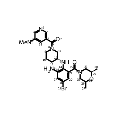 CNc1cncc(C(=O)N2CCC[C@@H](Nc3c(N)cc(Br)cc3C(=O)N3CC(C)O[C@H](C)C3)C2)c1